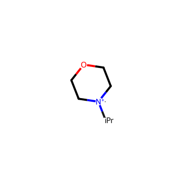 CC(C)[N+]1CCOCC1